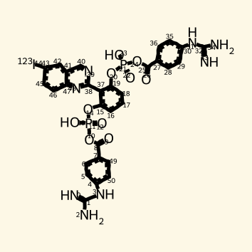 N=C(N)Nc1ccc(C(=O)OP(=O)(O)Oc2cccc(OP(=O)(O)OC(=O)c3ccc(NC(=N)N)cc3)c2-c2ncc3cc([123I])ccc3n2)cc1